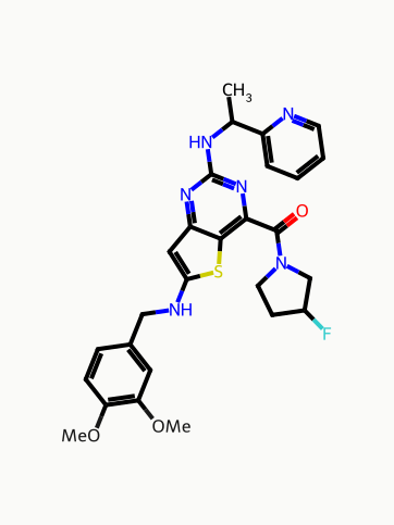 COc1ccc(CNc2cc3nc(NC(C)c4ccccn4)nc(C(=O)N4CCC(F)C4)c3s2)cc1OC